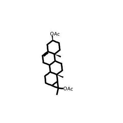 CC(=O)O[C@H]1CC[C@@]2(C)C(=CCC3C4CCC5C(C5(C)OC(C)=O)[C@@]4(C)CCC32)C1